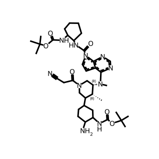 C[C@@H]1C(C2CCC(N)C(NC(=O)OC(C)(C)C)C2)CN(C(=O)CC#N)C[C@@H]1N(C)c1ncnc2c1ccn2C(=O)NC1CCCCC1NC(=O)OC(C)(C)C